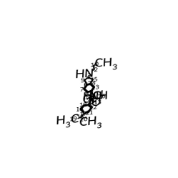 CCCNC1Cc2ccc(NS(=O)(=O)c3ccc(C(C)C)cc3)cc2C1.Cl